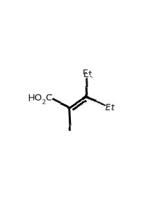 CCC(CC)=C(C)C(=O)O